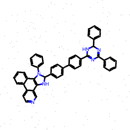 c1ccc(C2=NC(c3ccccc3)NC(c3ccc(-c4ccc(C5Nc6c(c7ccccc7c7ccncc67)N5c5ccccc5)cc4)cc3)=N2)cc1